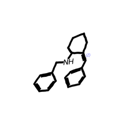 C(=C1\CCCCC1NCc1ccccc1)/c1ccccc1